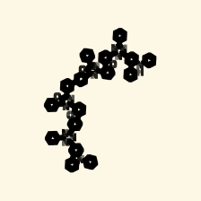 c1ccc(Nc2ccc(-c3nc(-c4ccccc4)nc(-c4cccc5c4oc4cccc(-c6nc(-c7ccccc7)c7oc8cc(-c9cccc(-c%10nc(-c%11cccc%12c%11oc%11cc(-c%13nc(-c%14ccccc%14)nc(-c%14ccc%15c(c%14)c%14ccccc%14n%15-c%14ccccc%14)n%13)ccc%11%12)nc%11c%10oc%10ccccc%10%11)c9)ccc8c7n6)c45)n3)cc2-c2ccccc2)cc1